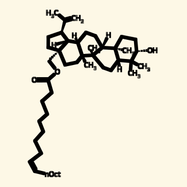 C=C(C)[C@@H]1CC[C@]2(COC(=O)CCCCCCC/C=C\CCCCCCCC)CC[C@]3(C)[C@H](CC[C@@H]4[C@@]5(C)CC[C@H](O)C(C)(C)[C@@H]5CC[C@]43C)[C@@H]12